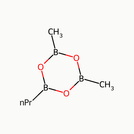 CCCB1OB(C)OB(C)O1